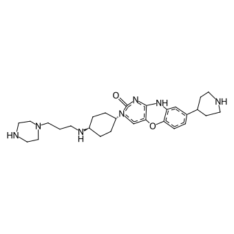 O=c1nc2c(cn1[C@H]1CC[C@H](NCCCN3CCNCC3)CC1)Oc1ccc(C3CCNCC3)cc1N2